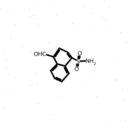 NS(=O)(=O)c1ccc(C=O)c2ccccc12